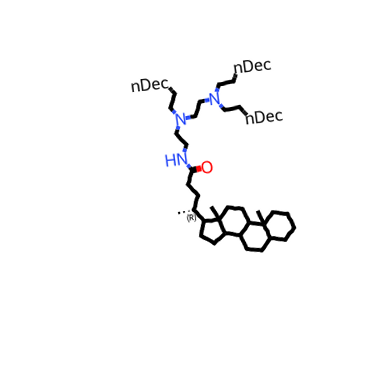 CCCCCCCCCCCCN(CCCCCCCCCCCC)CCN(CCCCCCCCCCCC)CCNC(=O)CC[C@@H](C)C1CCC2C3CCC4CCCCC4(C)C3CCC21C